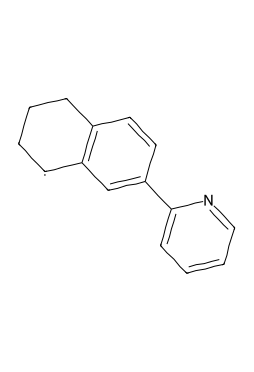 [CH]1CCCc2ccc(-c3ccccn3)cc21